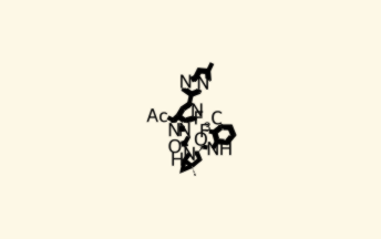 CC(=O)c1nn(CC(=O)N2[C@H](C(=O)Nc3cccc(C(F)(F)F)c3F)C[C@@]3(C)C[C@@H]23)c2cnc(-c3cnc4cc(C)cn4c3)cc12